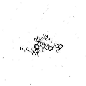 CC(C)N.CCC(C)(C)Nc1ccc([N+](=O)[O-])c(C(=O)NC(Cc2ccc(OCc3c(Cl)cccc3Cl)cc2)C(=O)O)c1